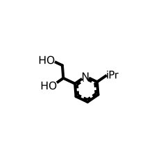 CC(C)c1cccc(C(O)CO)n1